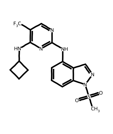 CS(=O)(=O)n1ncc2c(Nc3ncc(C(F)(F)F)c(NC4CCC4)n3)cccc21